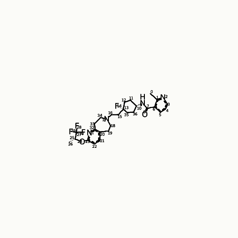 Cc1ncccc1C(=O)N[C@H]1CC[C@](F)(CCN2CCc3ccc(O[C@H](C)C(F)(F)F)nc3CC2)CC1